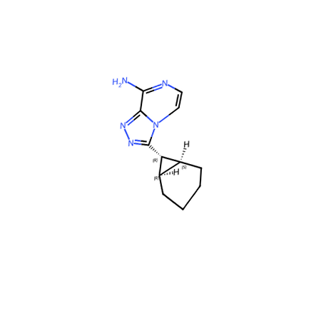 Nc1nccn2c([C@H]3[C@@H]4CCCC[C@@H]43)nnc12